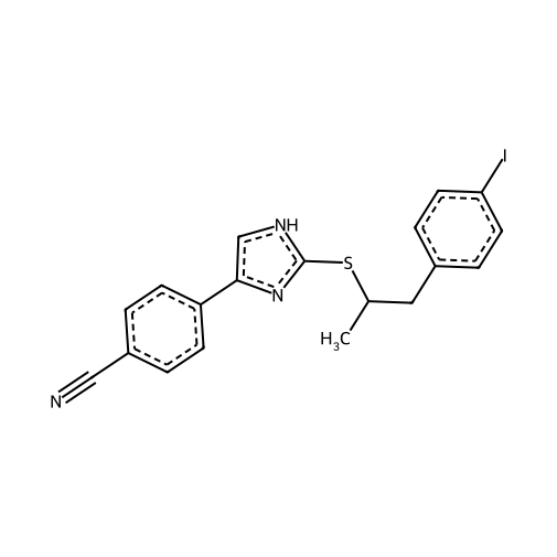 CC(Cc1ccc(I)cc1)Sc1nc(-c2ccc(C#N)cc2)c[nH]1